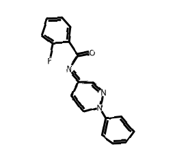 O=C(N=c1ccn(-c2ccccc2)nc1)c1ccccc1F